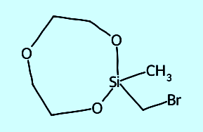 C[Si]1(CBr)OCCOCCO1